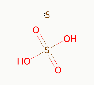 O=S(=O)(O)O.[S]